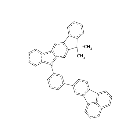 CC1(C)c2ccccc2-c2cc3c4ccccc4n(-c4cccc(-c5ccc6c(c5)-c5cccc7cccc-6c57)c4)c3cc21